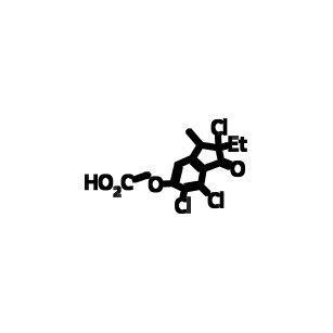 CCC1(Cl)C(=O)c2c(cc(OCC(=O)O)c(Cl)c2Cl)C1C